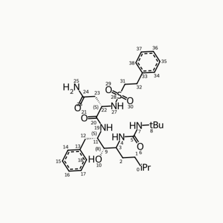 CC(C)CCC(NC(=O)NC(C)(C)C)[C@H](O)[C@H](Cc1ccccc1)NC(=O)[C@H](CC(N)=O)NS(=O)(=O)CCc1ccccc1